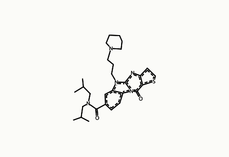 CC(C)CN(CC(C)C)C(=O)c1ccc2c(c1)n(CCCN1CCCCC1)c1nc3ccsc3c(=O)n21